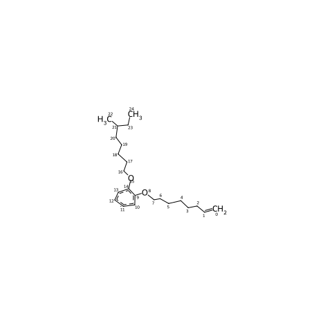 C=CCCCCCCOc1c[c]ccc1OCCCCCC(C)CC